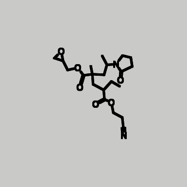 CCC(CC(C)(CC(C)N1CCCC1=O)C(=O)OCC1CO1)C(=O)OCCC#N